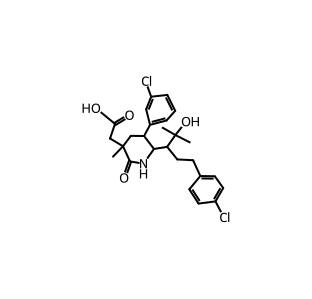 CC1(CC(=O)O)CC(c2cccc(Cl)c2)C(C(CCc2ccc(Cl)cc2)C(C)(C)O)NC1=O